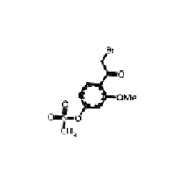 COc1cc(OS(C)(=O)=O)ccc1C(=O)CBr